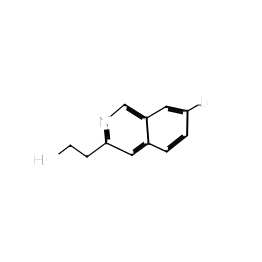 Bc1ccc2cc(CCO)ncc2c1